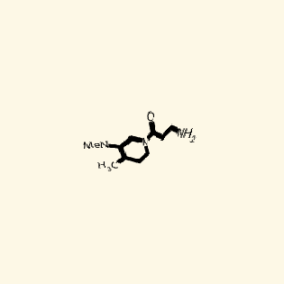 CNC1CN(C(=O)CCN)CCC1C